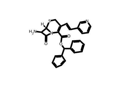 NC1C(=O)N2C(C(=O)OC(c3ccccc3)c3ccccc3)=C(C=Cc3cccnc3)CS[C@@H]12